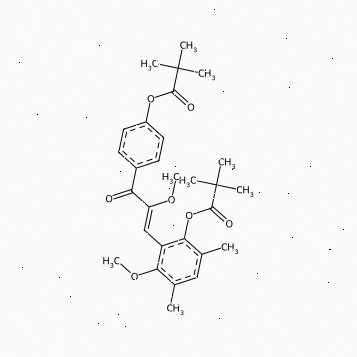 COC(=Cc1c(OC)c(C)cc(C)c1OC(=O)C(C)(C)C)C(=O)c1ccc(OC(=O)C(C)(C)C)cc1